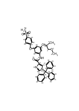 COC[C@H](C)Oc1cc(NC(=O)c2cn(C(c3ccccc3)(c3ccccc3)c3ccccc3)cn2)cc(Oc2ccc(S(C)(=O)=O)cc2)c1